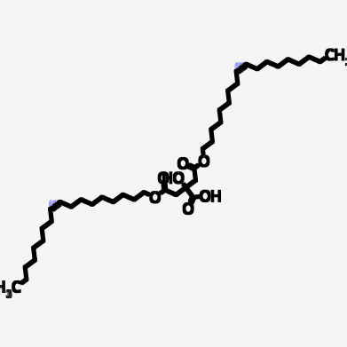 CCCCCCCC/C=C\CCCCCCCCOC(=O)CC(O)(CC(=O)OCCCCCCCC/C=C\CCCCCCCC)C(=O)O